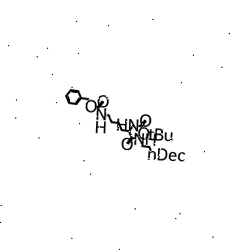 CCCCCCCCCCCCNC(=O)C(CCCCNC(=O)OCc1ccccc1)NC(=O)OC(C)(C)C